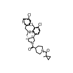 CC1(C(=O)N2CCC(C(=O)N3C[C@H](CNCc4ccc(Cl)cn4)[C@@H](c4ccc(Cl)c(Cl)c4)C3)CC2)CC1